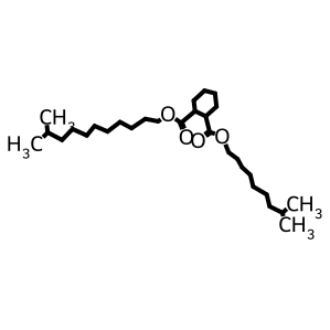 CC(C)CCCCCCCCCOC(=O)C1CCCCC1C(=O)OCCCCCCCC(C)C